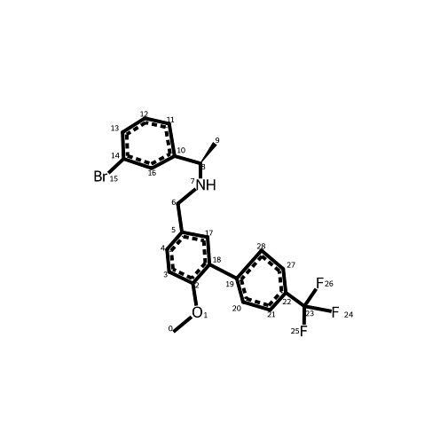 COc1ccc(CN[C@H](C)c2cccc(Br)c2)cc1-c1ccc(C(F)(F)F)cc1